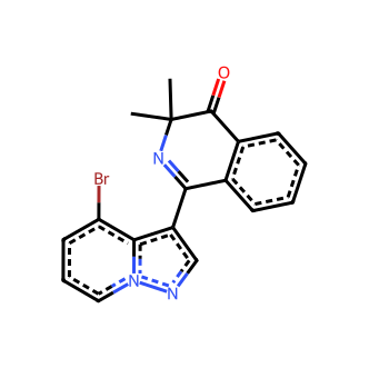 CC1(C)N=C(c2cnn3cccc(Br)c23)c2ccccc2C1=O